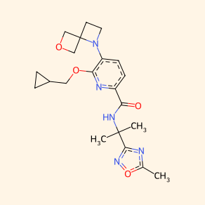 Cc1nc(C(C)(C)NC(=O)c2ccc(N3CCC34COC4)c(OCC3CC3)n2)no1